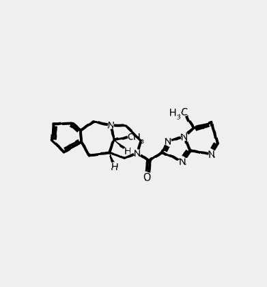 Cc1ccnc2nc(C(=O)N3CCN4Cc5ccccc5C[C@@H](C3)[C@H]4C)nn12